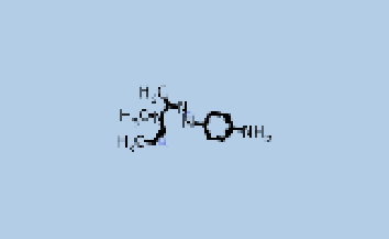 C=C(/N=N/c1ccc(N)cc1)N(C)/C=C\C